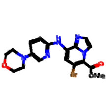 COC(=O)c1c(Br)cc(Nc2ccc(N3CCOCC3)cn2)c2nccn12